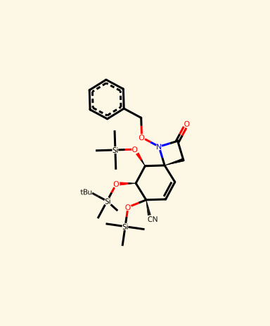 CC(C)(C)[Si](C)(C)O[C@H]1[C@@H](O[Si](C)(C)C)[C@]2(C=C[C@]1(C#N)O[Si](C)(C)C)CC(=O)N2OCc1ccccc1